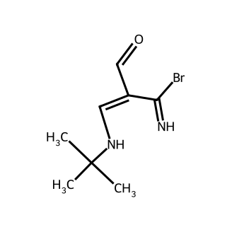 CC(C)(C)N/C=C(/C=O)C(=N)Br